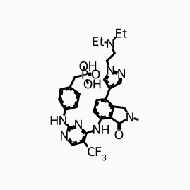 CCN(CC)CCn1cc(-c2ccc(Nc3nc(Nc4ccc(CP(=O)(O)O)cc4)ncc3C(F)(F)F)c3c2CN(C)C3=O)cn1